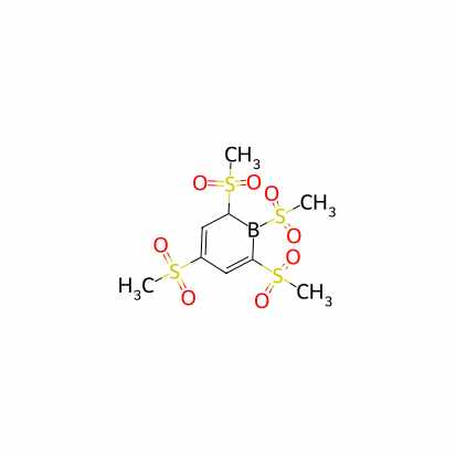 CS(=O)(=O)B1C(S(C)(=O)=O)=CC(S(C)(=O)=O)=CC1S(C)(=O)=O